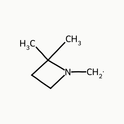 [CH2]N1CCC1(C)C